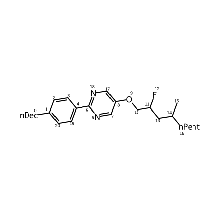 CCCCCCCCCCc1ccc(-c2ncc(OCC(F)CC(C)CCCCC)cn2)cc1